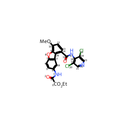 CCOC(=O)C(=O)Nc1ccc2oc3c(OC)ccc(C(=O)Nc4c(Cl)cncc4Cl)c3c2c1